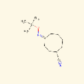 C[Si](C)(C)ON=C1CCCCC(C#N)CC1